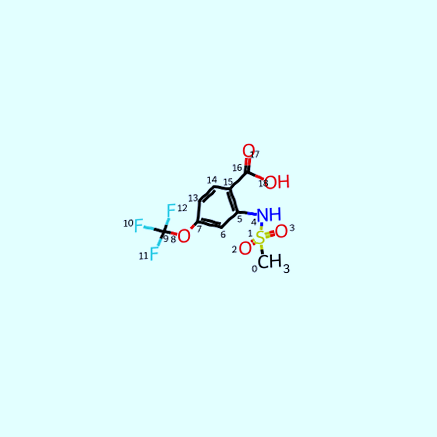 CS(=O)(=O)Nc1cc(OC(F)(F)F)ccc1C(=O)O